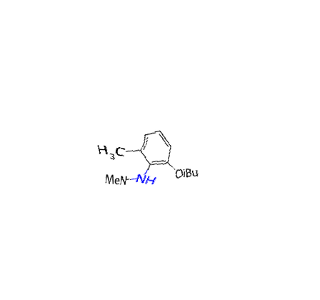 CNNc1c(C)cccc1OCC(C)C